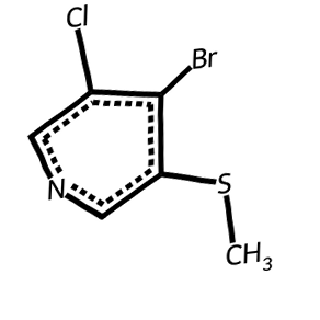 CSc1cncc(Cl)c1Br